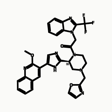 COc1nc2ccccc2cc1-c1cnc([C@@H]2CN(Cc3ncco3)CCN2C(=O)Cn2c(C(F)(F)F)nc3ccccc32)[nH]1